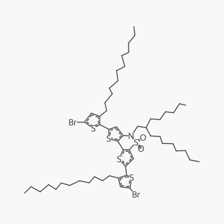 CCCCCCCCCCCCc1cc(Br)sc1-c1cc2c(s1)-c1sc(-c3sc(Br)cc3CCCCCCCCCCCC)cc1S(=O)(=O)N2CC(CCCCCC)CCCCCCCC